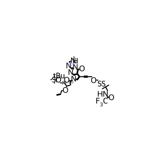 C=CCOC1C[C@H](n2cc(C#CCOCSSC(C)(C)CNC(=O)C(F)(F)F)c3c(=O)[nH]c(/N=C\N(C)C)nc32)O[C@@H]1CO[Si](C)(C)C(C)(C)C